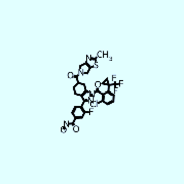 Cc1nc2c(s1)CN(C(=O)C1CCc3c(-c4ccc(C(=O)N=O)cc4F)nn(C(=O)c4c(Cl)cccc4C4(C(F)(F)F)CC4)c3C1)C2